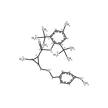 COc1ccc(COCC2C(C)C2C(=O)Oc2c(C(C)(C)C)cc(C)cc2C(C)(C)C)cc1